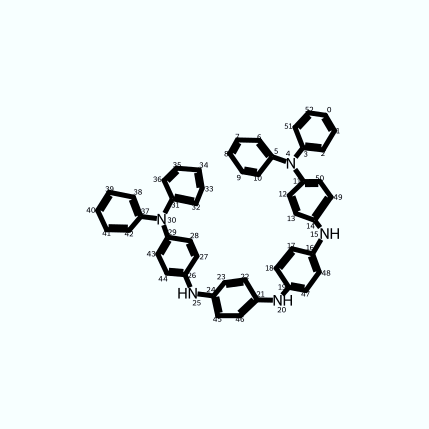 c1ccc(N(c2ccccc2)c2ccc(Nc3ccc(Nc4ccc(Nc5ccc(N(c6ccccc6)c6ccccc6)cc5)cc4)cc3)cc2)cc1